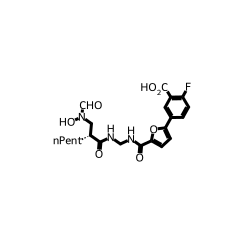 CCCCC[C@H](CN(O)C=O)C(=O)NCNC(=O)c1ccc(-c2ccc(F)c(C(=O)O)c2)o1